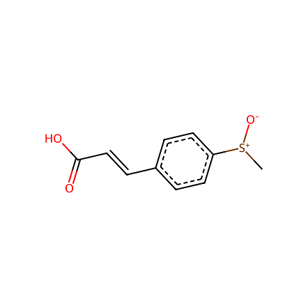 C[S+]([O-])c1ccc(C=CC(=O)O)cc1